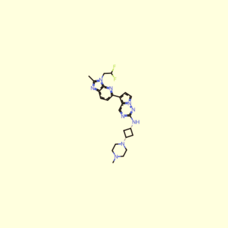 Cc1nc2ccc(-c3ccn4nc(N[C@H]5C[C@@H](N6CCN(C)CC6)C5)ncc34)nc2n1CC(F)F